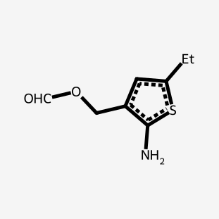 CCc1cc(COC=O)c(N)s1